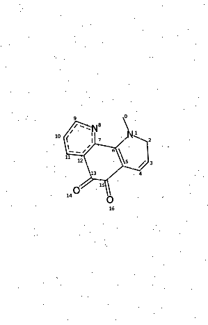 CN1CC=CC2=C1c1ncccc1C(=O)C2=O